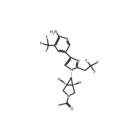 CC(=O)N1C[C@@H]2[C@H](C1)[C@@H]2n1cc(-c2cnc(N)c(C(F)(F)F)c2)nc1CC(F)(F)F